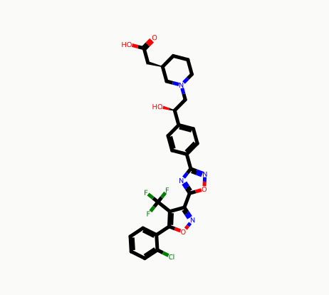 O=C(O)C[C@H]1CCCN(C[C@H](O)c2ccc(-c3noc(-c4noc(-c5ccccc5Cl)c4C(F)(F)F)n3)cc2)C1